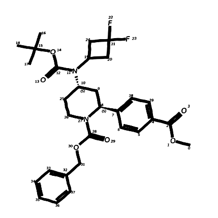 COC(=O)c1ccc([C@@H]2C[C@@H](N(C(=O)OC(C)(C)C)C3CC(F)(F)C3)CCN2C(=O)OCc2ccccc2)cc1